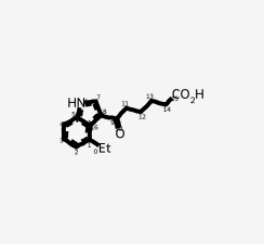 CCc1cccc2[nH]cc(C(=O)CCCCC(=O)O)c12